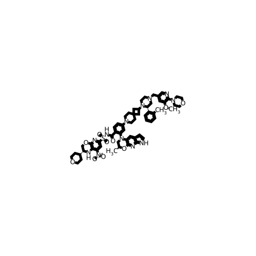 COc1cc(CN2CCN(C3CC4(CCN(c5ccc(C(=O)NS(=O)(=O)c6cc([N+](=O)[O-])c7c(n6)OC[C@@H](C6CCOCC6)N7)c(N6C[C@H](C)Oc7nc8[nH]ccc8cc76)c5)CC4)C3)[C@@H](c3ccccc3C)C2)cnc1N1CCOCC1